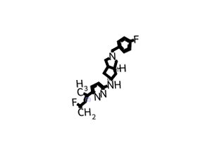 C=C(F)/C=C(\C)c1ccc(N[C@@H]2CC3CN(Cc4ccc(F)cc4)C[C@H]3C2)nn1